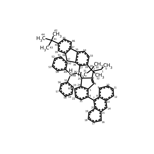 CCCC1=Cc2c(-c3c4ccccc4cc4ccccc34)cccc2[CH]1[Zr]([c]1c(C(C)(C)C)ccc2c1Cc1cc(C(C)(C)C)ccc1-2)[SiH](c1ccccc1)c1ccccc1